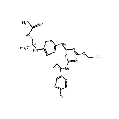 N=C(N)NC[C@H](Nc1ccc(Nc2nc(NC3(c4ccc(Cl)cc4)CC3)nc(OCC(F)(F)F)n2)cc1)C(=O)O